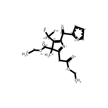 CCOC(=O)CC1=NC(C(=O)c2cccs2)=C(C(F)(F)F)C1(C)C(=O)OCC